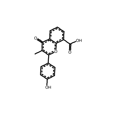 Cc1c(-c2ccc(O)cc2)oc2c(C(=O)O)cccc2c1=O